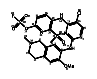 COc1cc2c(cc1Nc1ncc(Cl)c(Nc3ccc(OS(=O)(=O)F)nc3P(C)(C)=O)n1)CN(C)CC2